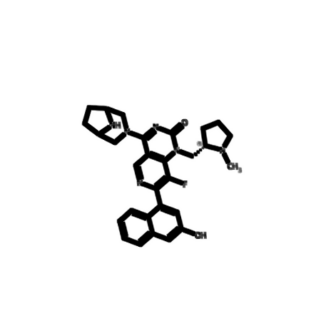 CN1CCC[C@H]1Cn1c(=O)nc(N2CC3CCC(C2)N3)c2cnc(-c3cc(O)cc4ccccc34)c(F)c21